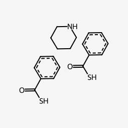 C1CCNCC1.O=C(S)c1ccccc1.O=C(S)c1ccccc1